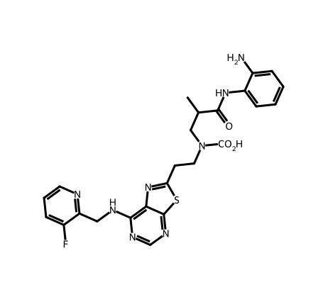 CC(CN(CCc1nc2c(NCc3ncccc3F)ncnc2s1)C(=O)O)C(=O)Nc1ccccc1N